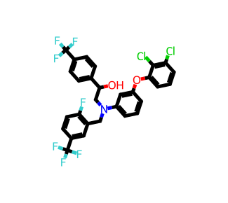 OC(CN(Cc1cc(C(F)(F)F)ccc1F)c1cccc(Oc2cccc(Cl)c2Cl)c1)c1ccc(C(F)(F)F)cc1